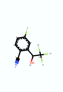 N#Cc1ccc(F)cc1C(O)C(F)(F)F